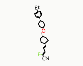 CCc1ccc([C@H]2CC[C@H](OC[C@H]3CC[C@H](C=CC=C(F)C#N)CC3)CC2)cc1